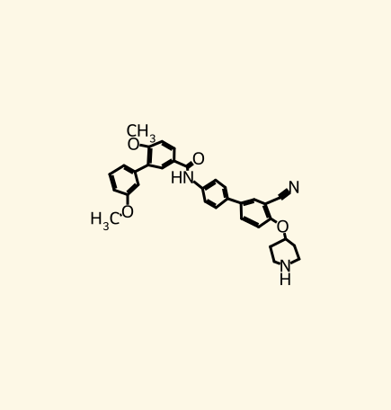 COc1cccc(-c2cc(C(=O)Nc3ccc(-c4ccc(OC5CCNCC5)c(C#N)c4)cc3)ccc2OC)c1